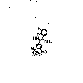 COC(=O)c1cc(C(=N)N(N)c2cccc(F)c2F)cn1S(C)(=O)=O